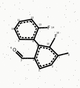 Cc1ccc(C=O)c(-c2ccccc2F)c1F